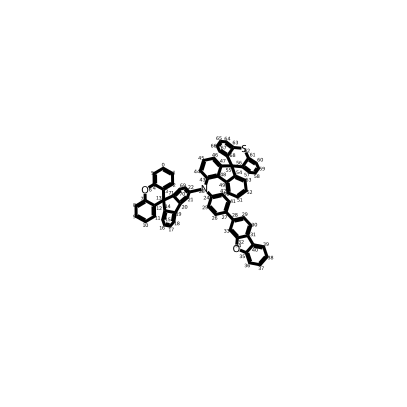 c1ccc2c(c1)Oc1ccccc1C21c2ccccc2-c2cc(N(c3ccc(-c4ccc5c(c4)oc4ccccc45)cc3)c3cccc4c3-c3ccccc3C43c4ccccc4Sc4ccccc43)ccc21